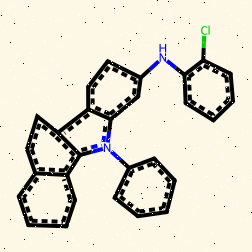 Clc1ccccc1Nc1ccc2c3ccc4ccccc4c3n(-c3ccccc3)c2c1